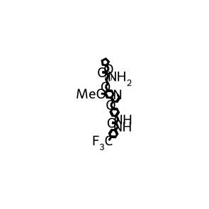 COc1cc2c(Oc3ccc(NC(=O)Nc4ccc(C(F)(F)F)cc4)cc3)ccnc2cc1OCC[C@H](N)C(=O)OC1CCCC1